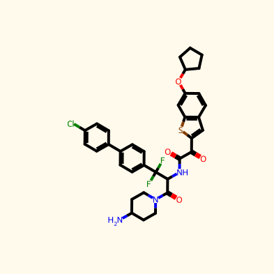 NC1CCN(C(=O)C(NC(=O)C(=O)c2cc3ccc(OC4CCCC4)cc3s2)C(F)(F)c2ccc(-c3ccc(Cl)cc3)cc2)CC1